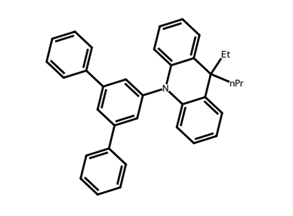 CCCC1(CC)c2ccccc2N(c2cc(-c3ccccc3)cc(-c3ccccc3)c2)c2ccccc21